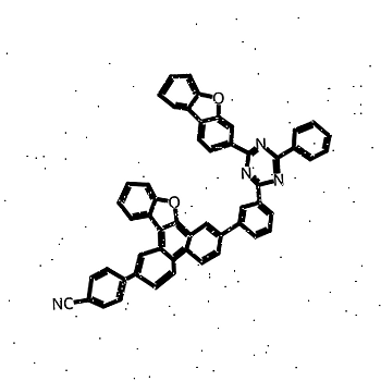 N#Cc1ccc(-c2ccc3c4ccc(-c5cccc(-c6nc(-c7ccccc7)nc(-c7ccc8c(c7)oc7ccccc78)n6)c5)cc4c4oc5ccccc5c4c3c2)cc1